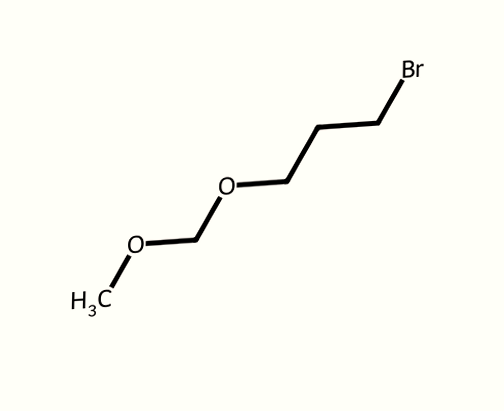 COCOCCCBr